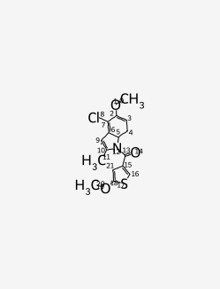 COC1=CCC2C(=C1Cl)[C]=C(C)N2C(=O)c1csc(OC)c1